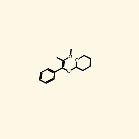 COC(C)=C(OC1CCCCO1)c1ccccc1